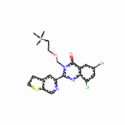 C[Si](C)(C)CCOCn1c(-c2cc3ccsc3cn2)nc2c(Cl)cc(Br)cc2c1=O